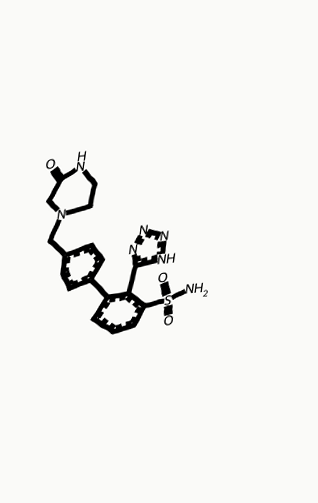 NS(=O)(=O)c1cccc(-c2ccc(CN3CCNC(=O)C3)cc2)c1-c1nnn[nH]1